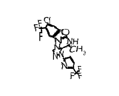 C[C@H](Nc1nc2cc(C(F)(F)F)c(Cl)cc2o1)c1ncnn1-c1ccc(C(F)(F)F)cn1